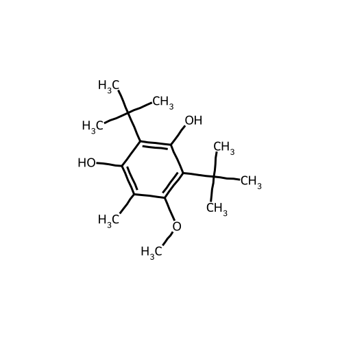 COc1c(C)c(O)c(C(C)(C)C)c(O)c1C(C)(C)C